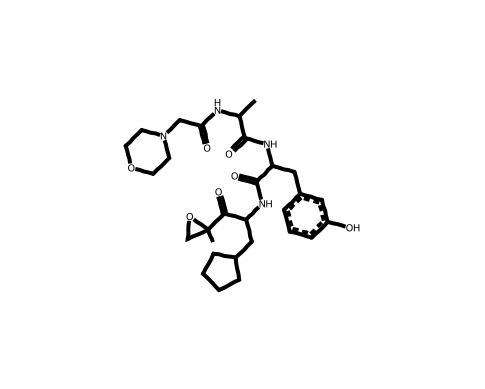 CC(NC(=O)CN1CCOCC1)C(=O)NC(Cc1cccc(O)c1)C(=O)NC(CC1CCCC1)C(=O)C1(C)CO1